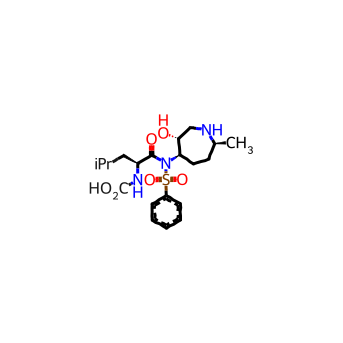 CC(C)C[C@H](NC(=O)O)C(=O)N([C@@H]1CC[C@H](C)NC[C@H]1O)S(=O)(=O)c1ccccc1